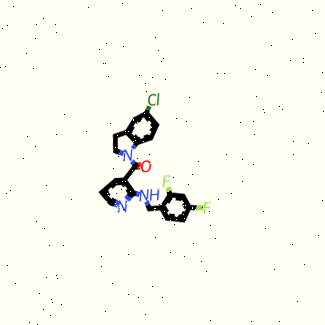 O=C(c1cccnc1NCc1ccc(F)cc1F)N1CCc2cc(Cl)ccc21